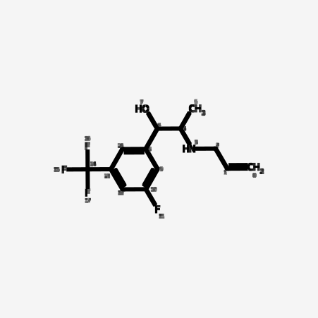 C=CCNC(C)C(O)c1cc(F)cc(C(F)(F)F)c1